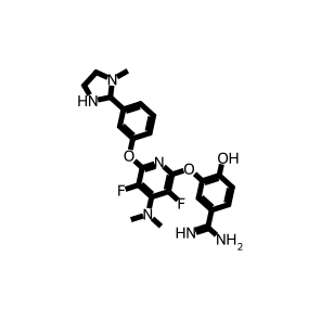 CN(C)c1c(F)c(Oc2cccc(C3NCCN3C)c2)nc(Oc2cc(C(=N)N)ccc2O)c1F